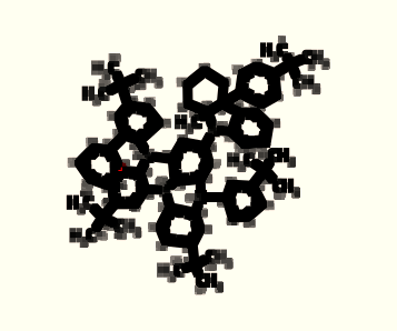 CC(C)(C)c1ccc(C23CCCCC2(C)N(c2cc4c5c(c2)N(c2ccc(C(C)(C)C)cc2-c2ccccc2)c2ccc(C(C)(C)C)cc2B5c2ccc(C(C)(C)C)cc2N4c2cccc(C(C)(C)C)c2)c2ccccc23)cc1